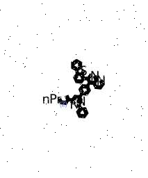 C=C(/C=C\CCC)c1cc(-c2ccc(C3=c4cccnc4=NCC3c3cccc4c3sc3ccccc34)cc2)nc(-c2ccccc2)n1